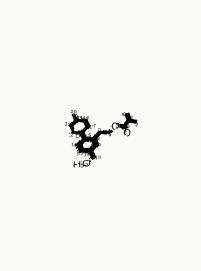 C=C(C)C(=O)OCCc1cc(CO)ccc1C1CCC(C)CC1